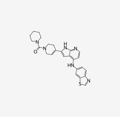 O=C(N1CC=C(c2cc3c(Nc4ccc5ncsc5c4)ccnc3[nH]2)CC1)N1CCCCC1